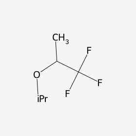 CC(C)OC(C)C(F)(F)F